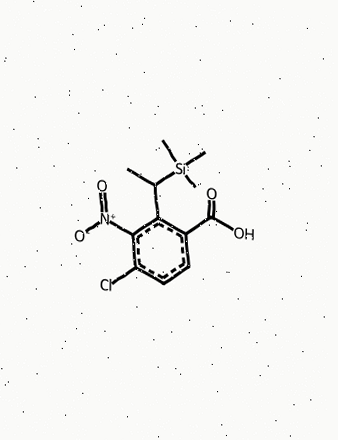 CC(c1c(C(=O)O)ccc(Cl)c1[N+](=O)[O-])[Si](C)(C)C